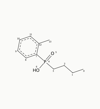 CCCCP(=O)(O)c1ccccc1C